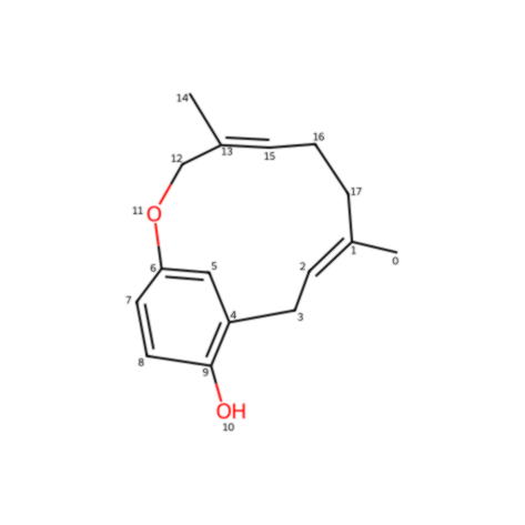 C/C1=C\Cc2cc(ccc2O)OC/C(C)=C/CC1